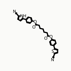 N#Cc1ccc(-c2ccc(OC(=O)CCCCCC(=O)Oc3ccc(-c4ccc(C#N)s4)cc3)cc2)[nH]1